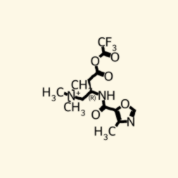 Cc1ncoc1C(=O)N[C@H](CC(=O)OC(=O)C(F)(F)F)C[N+](C)(C)C